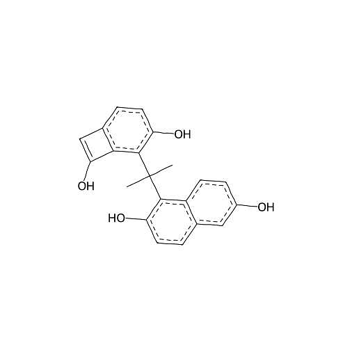 CC(C)(c1c(O)ccc2c1C(O)=C2)c1c(O)ccc2cc(O)ccc12